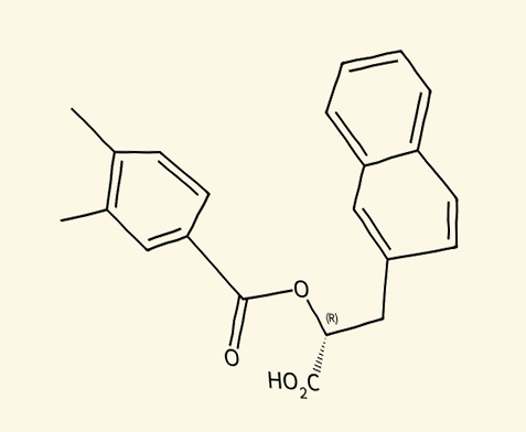 Cc1ccc(C(=O)O[C@H](Cc2ccc3ccccc3c2)C(=O)O)cc1C